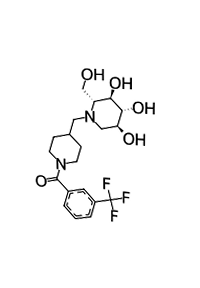 O=C(c1cccc(C(F)(F)F)c1)N1CCC(CN2C[C@H](O)[C@@H](O)[C@H](O)[C@H]2CO)CC1